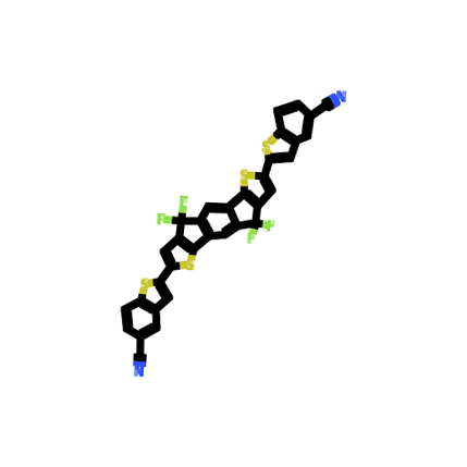 N#Cc1ccc2sc(-c3cc4c(s3)-c3cc5c(cc3C4(F)F)-c3sc(-c4cc6cc(C#N)ccc6s4)cc3C5(F)F)cc2c1